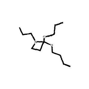 CCCCOC1(OCCC)CCN1CCC